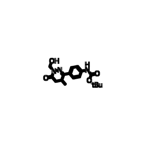 CC1CC(=O)N(CO)N=C1c1ccc(NC(=O)OC(C)(C)C)cc1